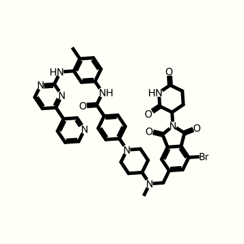 Cc1ccc(NC(=O)c2ccc(N3CCC(N(C)Cc4cc(Br)c5c(c4)C(=O)N(C4CCC(=O)NC4=O)C5=O)CC3)cc2)cc1Nc1nccc(-c2cccnc2)n1